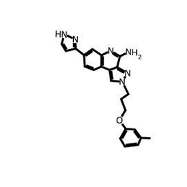 Cc1cccc(OCCCn2cc3c(n2)c(N)nc2cc(-c4cc[nH]n4)ccc23)c1